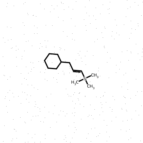 C[Si](C)(C)C=CCC1CCCCC1